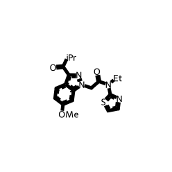 CCN(C(=O)Cn1nc(C(=O)C(C)C)c2ccc(OC)cc21)c1nccs1